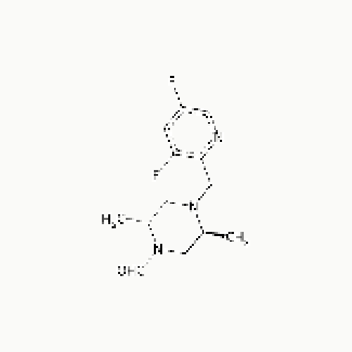 C[C@@H]1CN(Cc2ncc(F)cc2F)[C@@H](C)CN1C=O